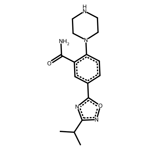 CC(C)c1noc(-c2ccc(N3CCNCC3)c(C(N)=O)c2)n1